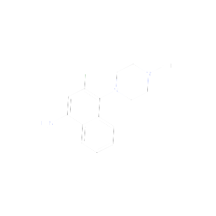 CN1CCN(c2c(Cl)cc(N)c3ccccc23)CC1